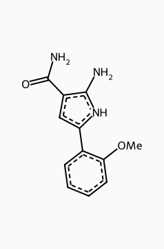 COc1ccccc1-c1cc(C(N)=O)c(N)[nH]1